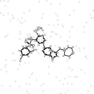 COc1ncc(-c2ccc3ncc(CN4CCOCC4)n3c2)cc1NS(=O)(=O)c1ccc(F)cc1F